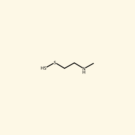 CNCCSS